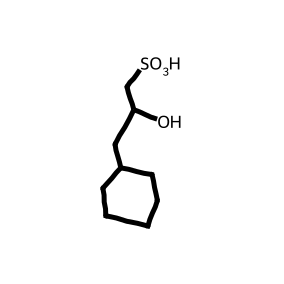 O=S(=O)(O)CC(O)CC1CCCCC1